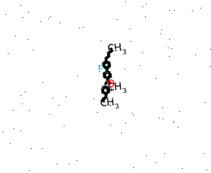 CCCCCc1ccc(-c2ccc(C(=O)C[C@@H]3CCC(CCC)C[C@H]3C)cc2)c(F)c1